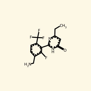 CCc1cc(=O)[nH]c(-c2c(C(F)(F)F)ccc(CN)c2F)n1